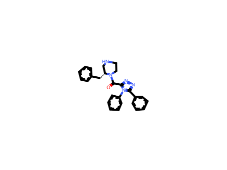 O=C(c1nnc(-c2ccccc2)n1-c1ccccc1)N1CCNC[C@H]1Cc1ccccc1